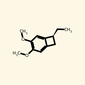 CC[C@H]1Cc2cc(OC)c(OC)cc21